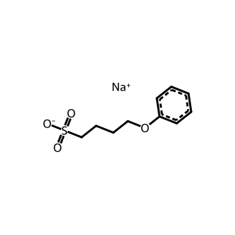 O=S(=O)([O-])CCCCOc1ccccc1.[Na+]